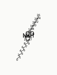 CCCCCCCCCCc1ccc(OC(=O)CCCCCCCCC)cc1.[NaH]